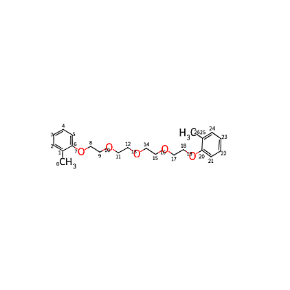 Cc1ccccc1OCCOCCOCCOCCOc1ccccc1C